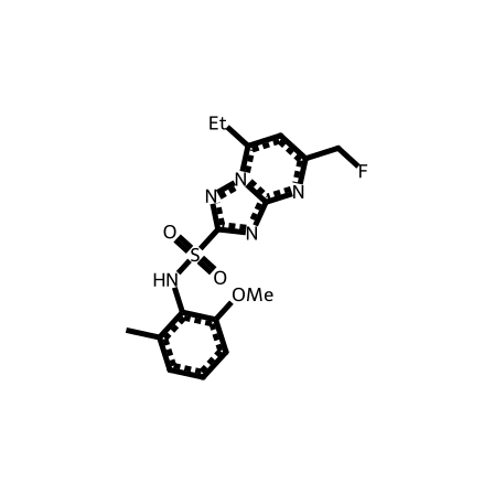 CCc1cc(CF)nc2nc(S(=O)(=O)Nc3c(C)cccc3OC)nn12